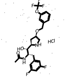 CC(=O)N[C@@H](Cc1cc(F)cc(F)c1)[C@H](O)[C@H]1C[C@@H](OCc2cccc(OC(F)(F)F)c2)CN1.Cl